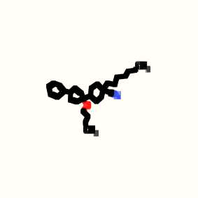 CCCCCCCC1(C#N)CCC(C2(OCCCC)C=CC(c3ccccc3)C=C2)CC1